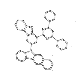 c1ccc(-c2nc(-c3ccccc3)nc(-c3cc(-n4c5ccccc5c5cc6ccccc6cc54)cc4c3oc3ccccc34)n2)cc1